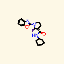 O=C(NC1CCCCC1)[C@@H]1CCCN(c2nc3ccccc3o2)C1I